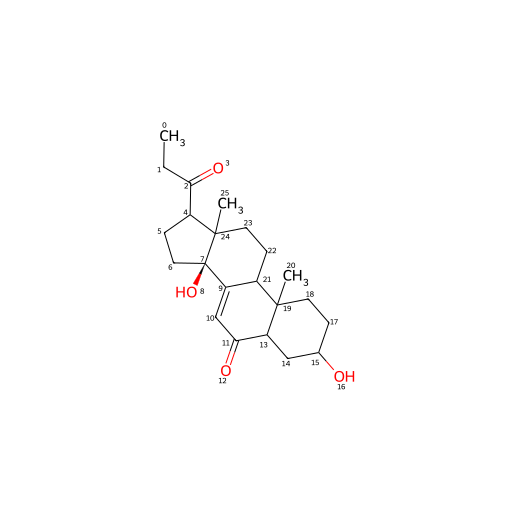 CCC(=O)C1CC[C@@]2(O)C3=CC(=O)C4CC(O)CCC4(C)C3CCC12C